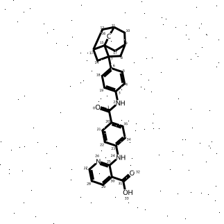 O=C(Nc1ccc(C23CC4CC5CC(C2)C3(C5)C4)cc1)c1ccc(Nc2ncccc2C(=O)O)cc1